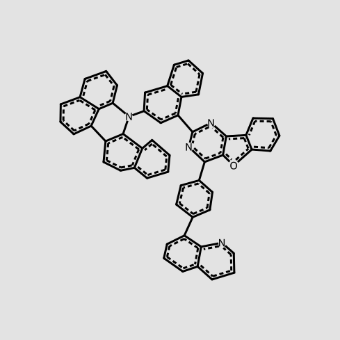 c1ccc2c(-c3nc(-c4ccc(-c5cccc6cccnc56)cc4)c4oc5ccccc5c4n3)cc(N3c4c(ccc5ccccc45)-c4cccc5cccc3c45)cc2c1